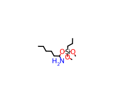 CCCCCC(N)O[Si](CCC)(OC)OC